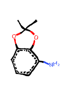 CC1(C)Oc2cccc(N)c2O1